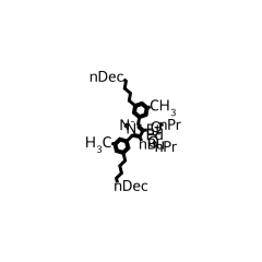 CCCCCCCCCCCCCCc1cc(C)cc(C2=C(CC)C(CCCC)=C(c3cc(C)cc(CCCCCCCCCCCCCC)c3)[N+]2=[N-])c1.CCC[O][Pd][O]CCC